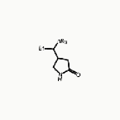 CCCCC(CC)C1CNC(=O)C1